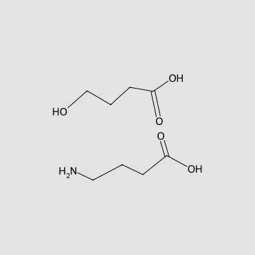 NCCCC(=O)O.O=C(O)CCCO